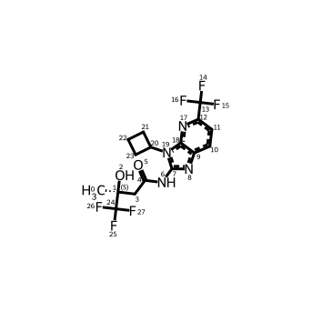 C[C@](O)(CC(=O)Nc1nc2ccc(C(F)(F)F)nc2n1C1CCC1)C(F)(F)F